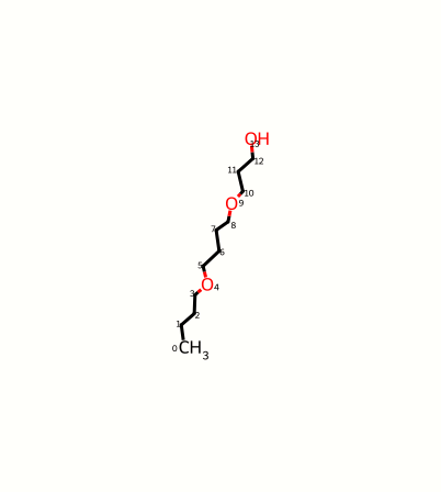 CCCCOCCCCOCCCO